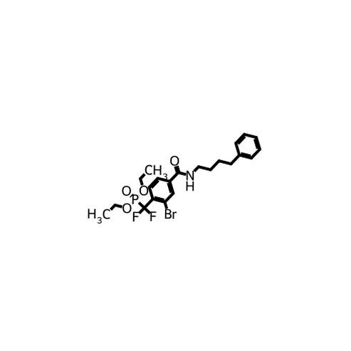 CCOP(=O)(OCC)C(F)(F)c1ccc(C(=O)NCCCCc2ccccc2)cc1Br